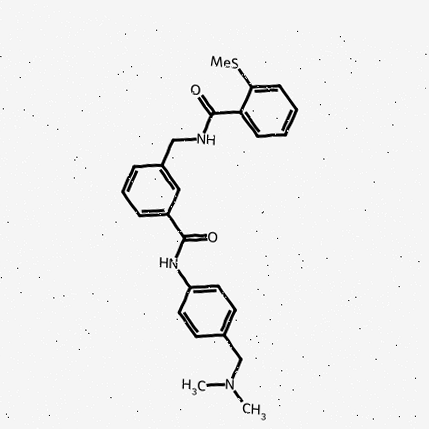 CSc1ccccc1C(=O)NCc1cccc(C(=O)Nc2ccc(CN(C)C)cc2)c1